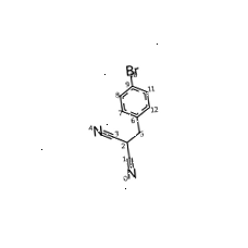 N#CC(C#N)Cc1ccc(Br)cc1